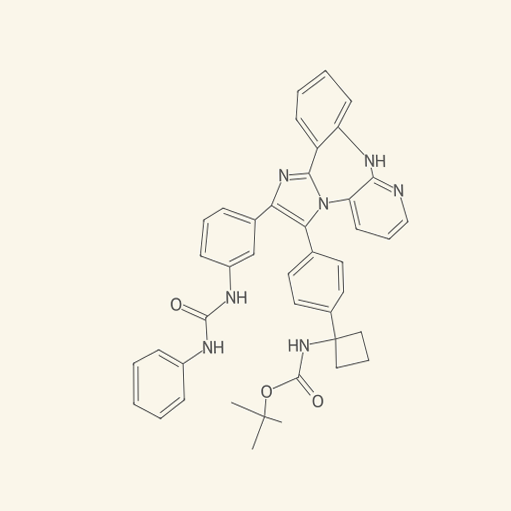 CC(C)(C)OC(=O)NC1(c2ccc(-c3c(-c4cccc(NC(=O)Nc5ccccc5)c4)nc4n3-c3cccnc3Nc3ccccc3-4)cc2)CCC1